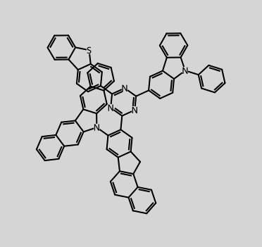 c1ccc(-n2c3ccccc3c3cc(-c4nc(-c5ccc6c(c5)sc5ccccc56)nc(-c5cc6c(cc5-n5c7cc8ccccc8cc7c7cc8ccccc8cc75)-c5ccc7ccccc7c5C6)n4)ccc32)cc1